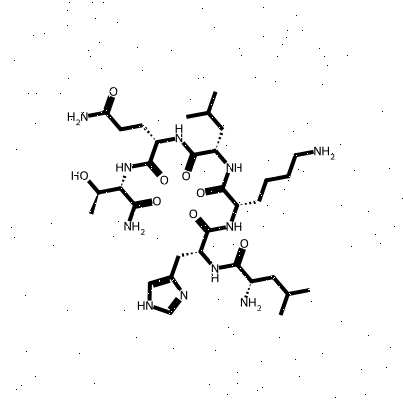 CC(C)C[C@H](NC(=O)[C@H](CCCCN)NC(=O)[C@@H](Cc1c[nH]cn1)NC(=O)[C@@H](N)CC(C)C)C(=O)N[C@@H](CCC(N)=O)C(=O)N[C@H](C(N)=O)[C@@H](C)O